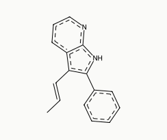 CC=Cc1c(-c2ccccc2)[nH]c2ncccc12